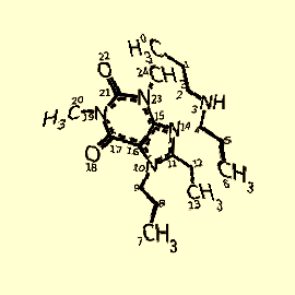 CCCNCCC.CCCn1c(CC)nc2c1c(=O)n(C)c(=O)n2C